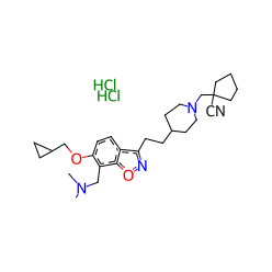 CN(C)Cc1c(OCC2CC2)ccc2c(CCC3CCN(CC4(C#N)CCCC4)CC3)noc12.Cl.Cl